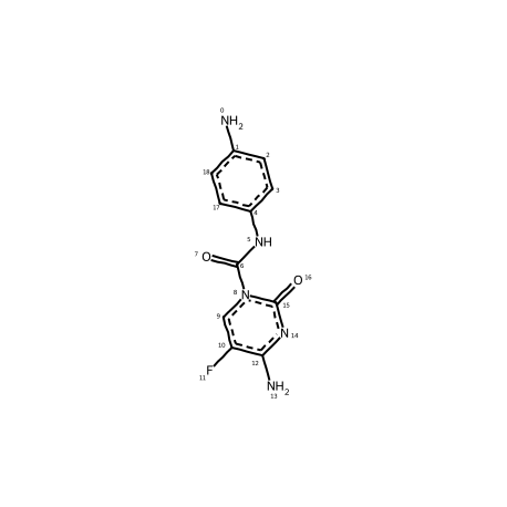 Nc1ccc(NC(=O)n2cc(F)c(N)nc2=O)cc1